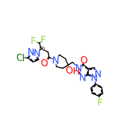 O=C(C[C@H](C(F)F)n1ccc(Cl)n1)N1CCC(O)(Cn2cnc3c(cnn3-c3ccc(F)cc3)c2=O)CC1